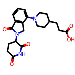 O=C(O)CCC1CCN(c2cccc3c2CN(C2CCC(=O)NC2=O)C3=O)CC1